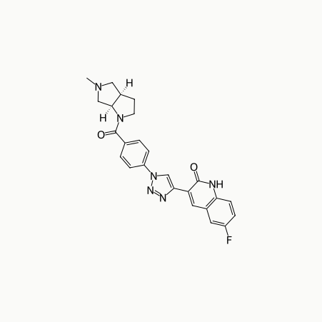 CN1C[C@H]2CCN(C(=O)c3ccc(-n4cc(-c5cc6cc(F)ccc6[nH]c5=O)nn4)cc3)[C@H]2C1